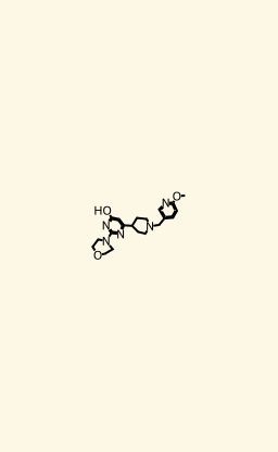 COc1ccc(CN2CCC(c3cc(O)nc(N4CCOCC4)n3)CC2)cn1